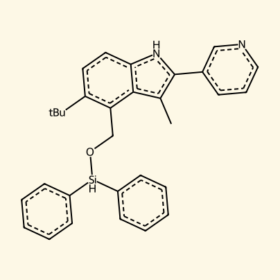 Cc1c(-c2cccnc2)[nH]c2ccc(C(C)(C)C)c(CO[SiH](c3ccccc3)c3ccccc3)c12